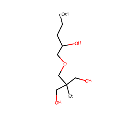 CCCCCCCCCCC(O)COCC(CC)(CO)CO